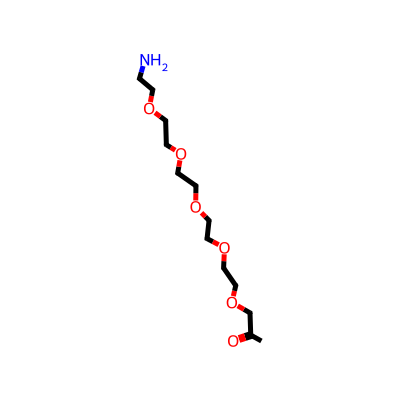 CC(=O)COCCOCCOCCOCCOCCN